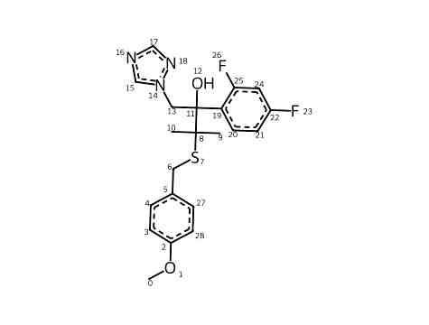 COc1ccc(CSC(C)(C)C(O)(Cn2cncn2)c2ccc(F)cc2F)cc1